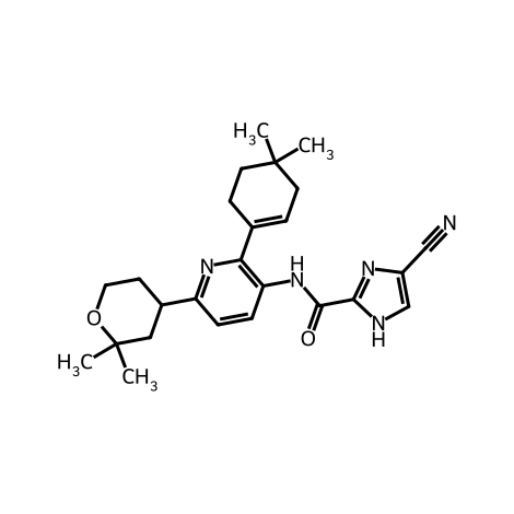 CC1(C)CC=C(c2nc(C3CCOC(C)(C)C3)ccc2NC(=O)c2nc(C#N)c[nH]2)CC1